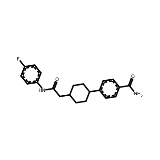 NC(=O)c1ccc(C2CCC(CC(=O)Nc3ccc(F)cc3)CC2)cc1